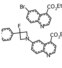 CCOC(=O)c1ccnc2ccc(Br)cc12.CCOC(=O)c1ccnc2ccc(N3CC(F)(c4ccccc4)C3)cc12